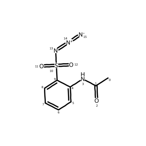 CC(=O)Nc1ccccc1S(=O)(=O)N=[N+]=[N-]